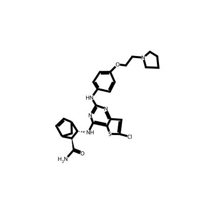 NC(=O)[C@H]1C2C=CC(C2)[C@@H]1Nc1nc(Nc2ccc(OCCN3CCCC3)cc2)nc2cc(Cl)sc12